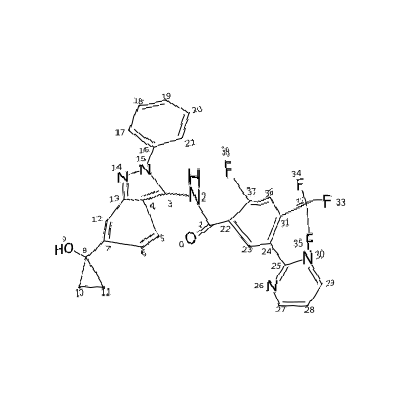 O=C(Nc1c2ccc(C3(O)CC3)cc2nn1-c1ccccc1)c1cc(-c2ncccn2)c(C(F)(F)F)cc1F